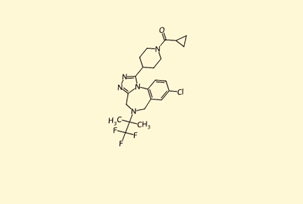 CC(C)(N1Cc2cc(Cl)ccc2-n2c(nnc2C2CCN(C(=O)C3CC3)CC2)C1)C(F)(F)F